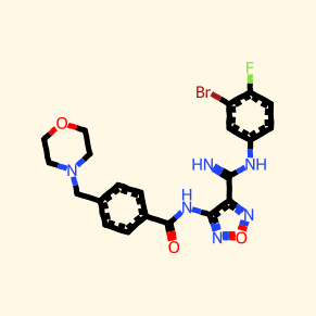 N=C(Nc1ccc(F)c(Br)c1)c1nonc1NC(=O)c1ccc(CN2CCOCC2)cc1